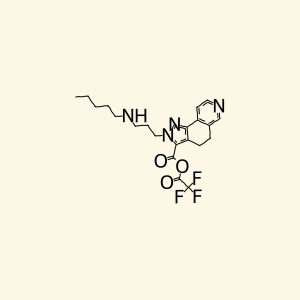 CCCCCNCCCn1nc2c(c1C(=O)OC(=O)C(F)(F)F)CCc1cnccc1-2